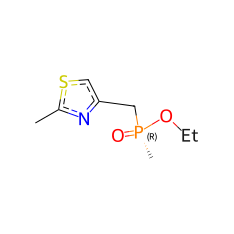 CCO[P@@](C)(=O)Cc1csc(C)n1